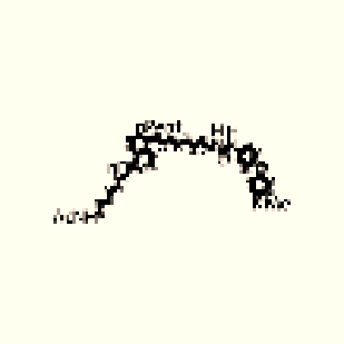 CCCCCCCCCC/C=C\C1C(CCCCCCCCCNC(C)=O)C=CC(CCCCC)C1CCCCCCCCNC(=O)Nc1ccc(Oc2ccc(NC)cc2)cc1